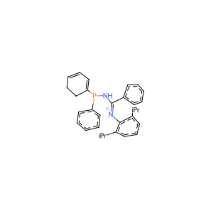 CC(C)c1cccc(C(C)C)c1/N=C(/NP(C1=CC=CCC1)c1ccccc1)c1ccccc1